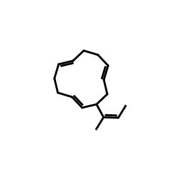 C/C=C(/C)C1/C=C/CC/C=C/CC/C=C/C1